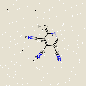 C=C1NC=C(C#N)C(C#N)=C1C#N